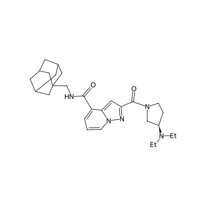 CCN(CC)[C@@H]1CCN(C(=O)c2cc3c(C(=O)NCC45CC6CC(CC(C6)C4)C5)cccn3n2)C1